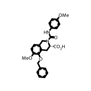 COc1ccc(NC(=O)N2Cc3ccc(OC)c(OCc4ccccc4)c3C[C@H]2C(=O)O)cc1